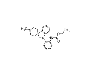 CCOC(=O)Nc1ccccc1N1CC2(CCN(C)CC2)c2ccccc21